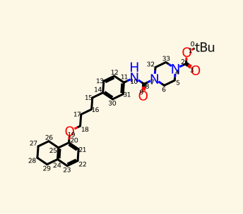 CC(C)(C)OC(=O)N1CCN(C(=O)Nc2ccc(CCCCOc3cccc4c3CCCC4)cc2)CC1